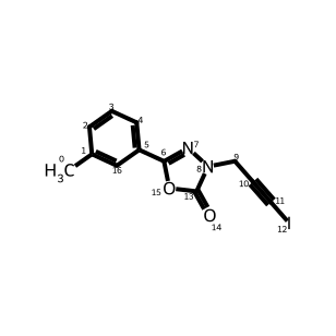 Cc1cccc(-c2nn(CC#CI)c(=O)o2)c1